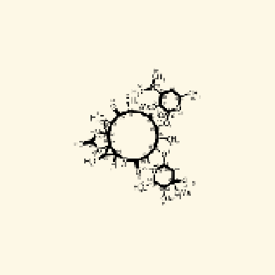 CO[C@H]1[C@H](O[C@@H]2[C@@H](C)[C@H](O[C@H]3C[C@@](C)(OC)[C@@H](OC(C)=O)[C@H](C)O3)[C@@H](C)C(=O)O[C@@H]3C(C)[C@@]34OC(=O)N[C@@H]4[C@@H](C)C(=O)[C@H](C)C[C@]2(C)OC)O[C@H](C)C[C@@H]1N(C)C